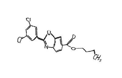 CCCCOC(=O)c1ccc2nc(-c3cc(Cl)cc(Cl)c3)oc2c1